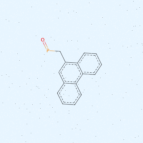 O=PCc1cc2ccccc2c2ccccc12